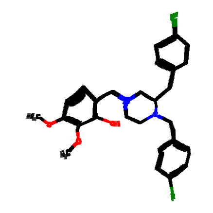 COc1ccc(CN2CCN(Cc3ccc(F)cc3)C(Cc3ccc(F)cc3)C2)c(O)c1OC